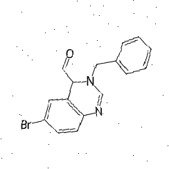 O=CC1c2cc(Br)ccc2N=CN1Cc1ccccc1